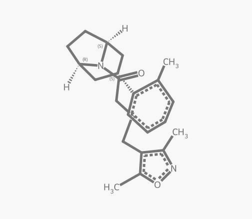 Cc1ccccc1[C@@H]1C[C@H]2CC[C@@H](C1)N2C(=O)CSCc1c(C)noc1C